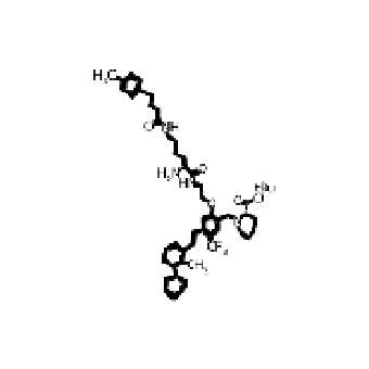 Cc1ccc(CCCC(=O)NCCCC[C@H](N)C(=O)NCCOc2cc(/C=C/c3cccc(-c4ccccc4)c3C)c(C(F)(F)F)cc2CN2CCCC[C@H]2C(=O)OC(C)(C)C)cc1